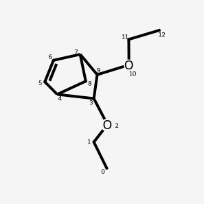 CCOC1C2C=CC(C2)C1OCC